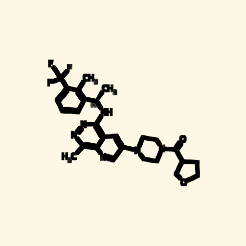 Cc1c([C@@H](C)Nc2nnc(C)c3ncc(N4CCN(C(=O)C5CCOC5)CC4)cc23)cccc1C(F)(F)F